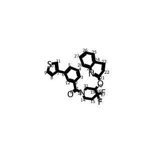 O=C(c1cccc(-c2ccsc2)c1)N1CCC(F)(F)C(Oc2ccc3ccccc3n2)C1